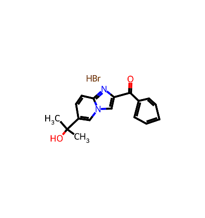 Br.CC(C)(O)c1ccc2nc(C(=O)c3ccccc3)cn2c1